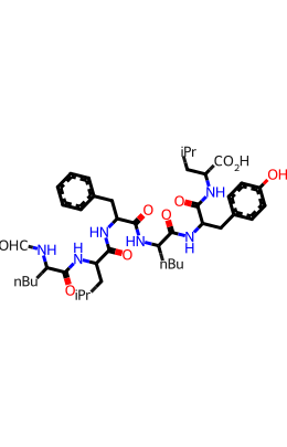 CCCCC(NC=O)C(=O)NC(CC(C)C)C(=O)NC(Cc1ccccc1)C(=O)NC(CCCC)C(=O)NC(Cc1ccc(O)cc1)C(=O)NC(CC(C)C)C(=O)O